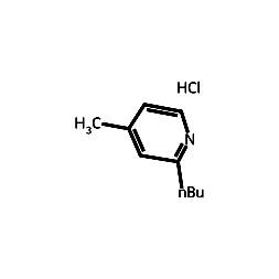 CCCCc1cc(C)ccn1.Cl